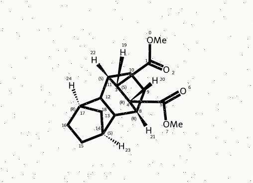 COC(=O)[C@@H]1[C@H](C(=O)OC)[C@@H]2CC[C@H]1C1C2[C@H]2CC[C@@H]1C2